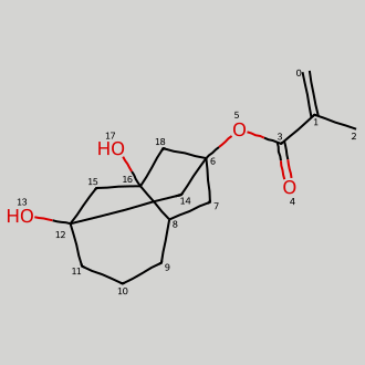 C=C(C)C(=O)OC12CC3CCCC(O)(C1)CC3(O)C2